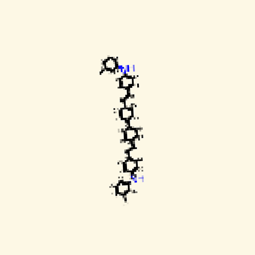 Cc1cccc(Nc2ccc(C=Cc3ccc(-c4ccc(C=Cc5ccc(Nc6cccc(C)c6)cc5)cc4)cc3)cc2)c1